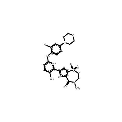 CCc1cc(N2CCOCC2)ccc1Nc1ncc(C(F)(F)F)c(-c2cc3c(s2)C(=S)N(C)CCS3(=O)=O)n1